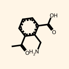 CC(=O)c1cccc(C(=O)O)c1CN